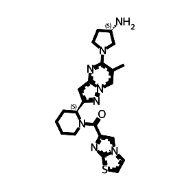 Cc1cn2nc([C@@H]3CCCCN3C(=O)c3cn4ccsc4n3)cc2nc1N1CC[C@H](N)C1